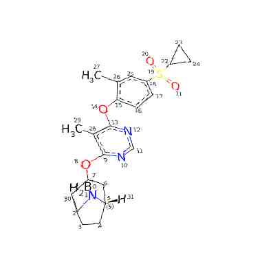 BN1C2CC[C@H]1CC(Oc1ncnc(Oc3ccc(S(=O)(=O)C4CC4)cc3C)c1C)C2